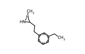 CCc1cccc(CCC2NN2C)c1